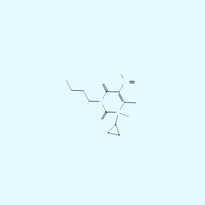 CCCCN1C(=O)C([N+](=O)[O-])=C(C)[N+](C)(C2CC2)C1=O